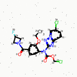 O=C(c1ccc(N(C(=O)OCCl)c2nc3ccc(Cl)cn3n2)c(OCC(F)(F)F)c1)N1CC(F)C1